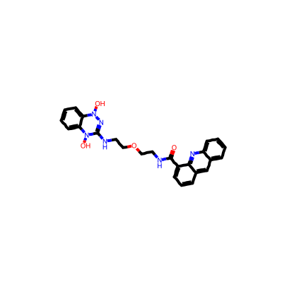 O=C(NCCOCCNC1=NN(O)c2ccccc2N1O)c1cccc2cc3ccccc3nc12